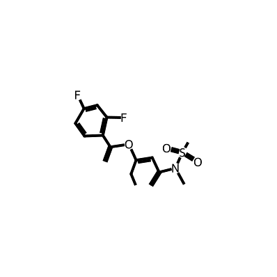 C=C(O/C(=C/C(=C)N(C)S(C)(=O)=O)CC)c1ccc(F)cc1F